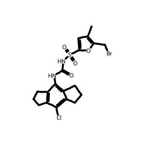 Cc1cc(S(=O)(=O)NC(=O)Nc2c3c(c(Cl)c4c2CCC4)CCC3)oc1CBr